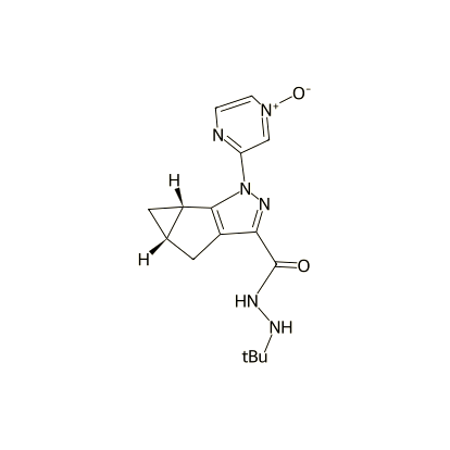 CC(C)(C)NNC(=O)c1nn(-c2c[n+]([O-])ccn2)c2c1C[C@@H]1C[C@H]21